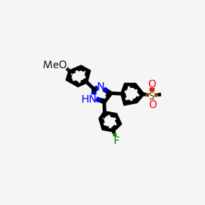 COc1ccc(-c2nc(-c3ccc(S(C)(=O)=O)cc3)c(-c3ccc(F)cc3)[nH]2)cc1